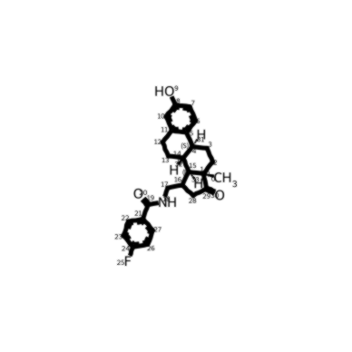 C[C@]12CC[C@@H]3c4ccc(O)cc4CC[C@H]3[C@@H]1C(CNC(=O)c1ccc(F)cc1)CC2=O